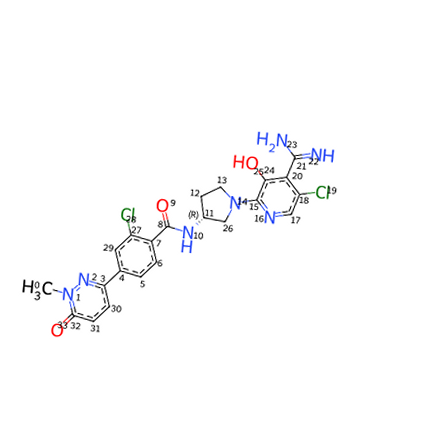 Cn1nc(-c2ccc(C(=O)N[C@@H]3CCN(c4ncc(Cl)c(C(=N)N)c4O)C3)c(Cl)c2)ccc1=O